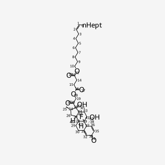 CCCCCCC/C=C\CCCCCCCCOC(=O)CCC(=O)OCC(=O)[C@@]1(O)[C@H](C)C[C@H]2[C@@H]3CCC4=CC(=O)C=C[C@]4(C)[C@@]3(F)[C@@H](O)C[C@@]21C